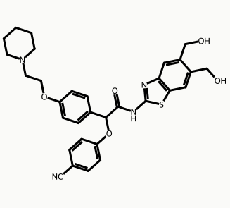 N#Cc1ccc(OC(C(=O)Nc2nc3cc(CO)c(CO)cc3s2)c2ccc(OCCN3CCCCC3)cc2)cc1